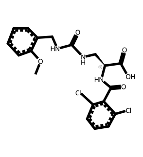 COc1ccccc1CNC(=O)NC[C@H](NC(=O)c1c(Cl)cccc1Cl)C(=O)O